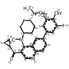 CN(C)[C@H]1CC[C@H](N(C)c2c(C(=O)C3CC3)cnc3ccc(-c4cc(F)c(O)c(Cl)c4)cc23)CC1